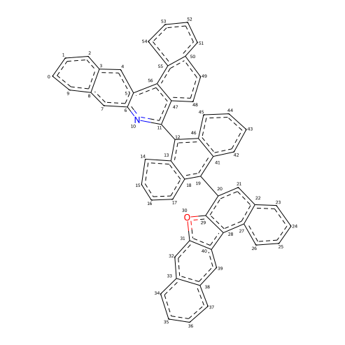 c1ccc2cc3c(cc2c1)nc(-c1c2ccccc2c(-c2cc4ccccc4c4c2oc2cc5ccccc5cc24)c2ccccc12)c1ccc2ccccc2c13